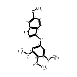 COc1ccc2c(Sc3cc(OC)c(OC)c(OC)c3)c[nH]c2c1